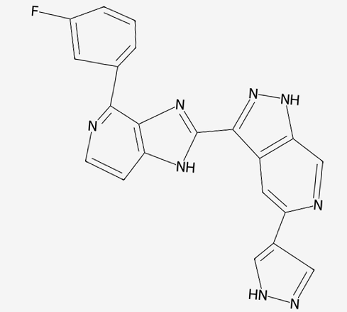 Fc1cccc(-c2nccc3[nH]c(-c4n[nH]c5cnc(-c6cn[nH]c6)cc45)nc23)c1